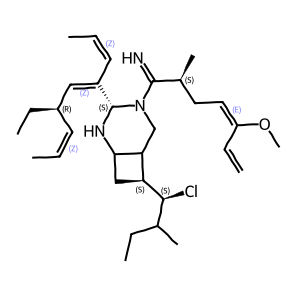 C=C/C(=C\C[C@H](C)C(=N)N1CC2C(C[C@@H]2[C@@H](Cl)C(C)CC)N[C@@H]1C(/C=C\C)=C\[C@@H](/C=C\C)CC)OC